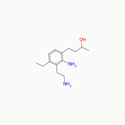 CCc1ccc(CCC(C)O)c(N)c1CCN